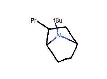 CC(C)C1CC2CCC1N2C(C)(C)C